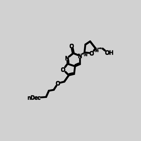 CCCCCCCCCCCCCOCc1cc2cn([C@@H]3CC[C@H](CO)O3)c(=O)nc2o1